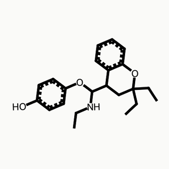 CCNC(Oc1ccc(O)cc1)C1CC(CC)(CC)Oc2ccccc21